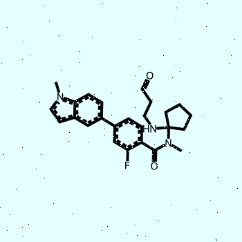 CN(C(=O)c1ccc(-c2ccc3c(ccn3C)c2)cc1F)C1(NCCC=O)CCCC1